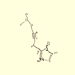 CC(C)CC#CCc1nccs1